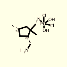 C[C@H]1C[C@@H](CN)C(C)(C)C1.[NH2][Pt]([OH])([OH])([Cl])[Cl]